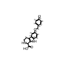 O=C(O)C1NCCc2c1[nH]c1ccc(OCc3ccc(Cl)cc3)cc21